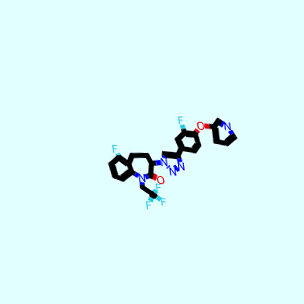 O=C1C(n2cc(-c3ccc(Oc4cccnc4)c(F)c3)nn2)CCc2c(F)cccc2N1CC(F)(F)F